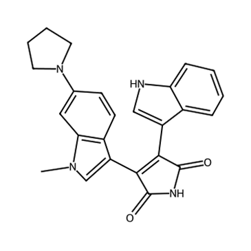 Cn1cc(C2=C(c3c[nH]c4ccccc34)C(=O)NC2=O)c2ccc(N3CCCC3)cc21